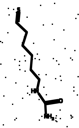 NC(=O)NCCCCCC=S